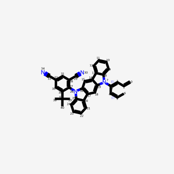 C=C/C=C(\C=C/C)n1c2ccccc2c2cc3c(cc21)c1ccccc1n3-c1c(C#N)cc(C#N)cc1C(C)(C)C